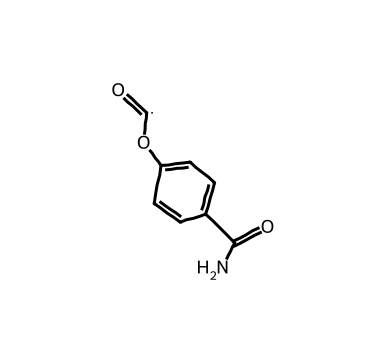 NC(=O)c1ccc(O[C]=O)cc1